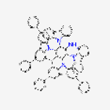 Nc1c(-n2c3ccccc3c3ccccc32)c2c3c(c1-n1c4ccccc4c4ccccc41)-n1c4ccc(-c5ccccc5)cc4c4cc(-c5ccccc5)cc(c41)C3c1cc(-c3ccccc3)cc3c4cc(-c5ccccc5)ccc4n-2c13